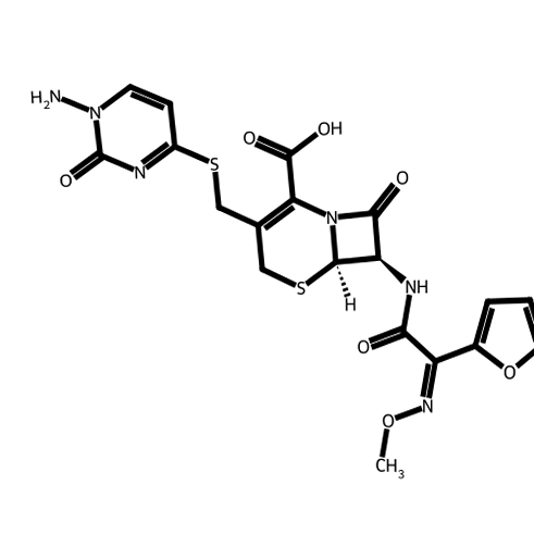 CO/N=C(\C(=O)N[C@@H]1C(=O)N2C(C(=O)O)=C(CSc3ccn(N)c(=O)n3)CS[C@H]12)c1ccco1